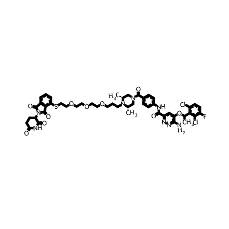 CC(Oc1cc(C(=O)Nc2ccc(C(=O)N3C[C@@H](C)N(CCCOCCOCCOCCSc4cccc5c4C(=O)N(C4CCC(=O)NC4=O)C5=O)[C@@H](C)C3)cc2)nnc1N)c1c(Cl)ccc(F)c1Cl